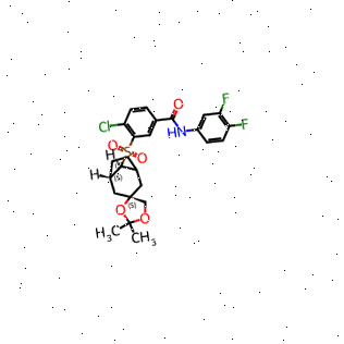 CC1(C)OC[C@@]2(CC3CC[C@@H](C2)[C@H]3S(=O)(=O)c2cc(C(=O)Nc3ccc(F)c(F)c3)ccc2Cl)O1